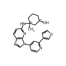 C[C@@]1(Nc2ccc3ncn(-c4ccnc(-c5ccoc5)c4)c3n2)CCC[C@@H](O)C1